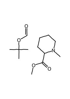 CC(C)(C)OC=O.COC(=O)C1CCCCN1C